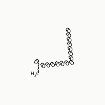 C1CCOC1.C1CCOC1.C1CCOC1.C1CCOC1.C1CCOC1.C1CCOC1.C1CCOC1.C1CCOC1.C1CCOC1.C1CCOC1.C1CCOC1.C1CCOC1.C1CCOC1.C1CCOC1.CCCCCCC1CCCO1